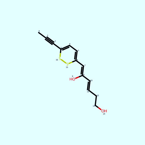 CC#CC1=CC=C(/C=C(O)/C=C/CCO)SS1